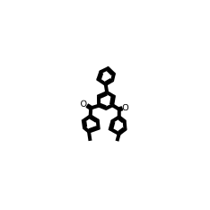 Cc1ccc(C(=O)c2cc(C(=O)c3ccc(C)cc3)cc(-c3ccccc3)c2)cc1